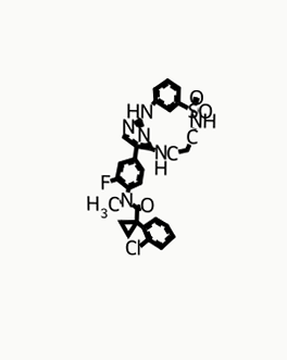 CN(C(=O)C1(c2ccccc2Cl)CC1)c1ccc(-c2cnc3nc2NCCCNS(=O)(=O)c2cccc(c2)N3)cc1F